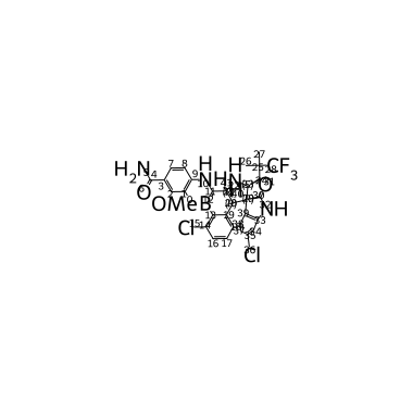 COc1cc(C(N)=O)ccc1NC1=Bc2c(Cl)cccc2[C@H]2[C@H]1N[C@@H](CC(C)(C)C(F)(F)F)[C@@]21C(=O)Nc2cc(Cl)ccc21